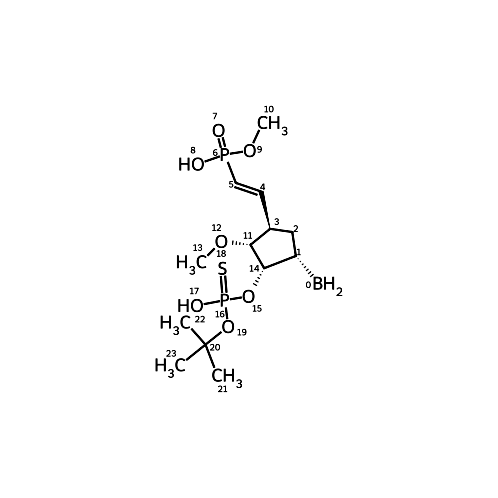 B[C@H]1C[C@H](/C=C/P(=O)(O)OC)[C@@H](OC)[C@H]1OP(O)(=S)OC(C)(C)C